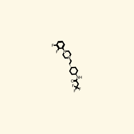 O=C(CC(F)(F)F)N[C@H]1CC[C@H](CCN2CCN(c3cccc(F)c3F)CC2)CC1